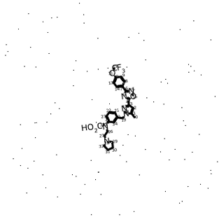 Cc1cc(-c2nc(-c3ccc(OC(F)(F)F)cc3)no2)nn1Cc1cccc(N(CCN2CCCC2)C(=O)O)c1